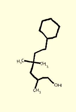 CC(CO)CC(C)(C)CCC1CCCCC1